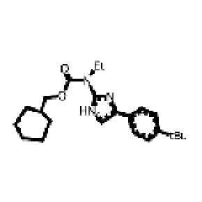 CCN(C(=O)OCC1CCCCC1)c1nc(-c2ccc(C(C)(C)C)cc2)c[nH]1